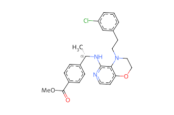 COC(=O)c1ccc([C@H](C)Nc2nccc3c2N(CCc2cccc(Cl)c2)CCO3)cc1